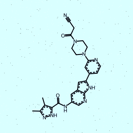 Cc1n[nH]c(C(=O)Nc2cnc3[nH]c(-c4ccnc(N5CCN(C(=O)CC#N)CC5)c4)cc3c2)c1C